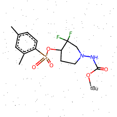 Cc1ccc(S(=O)(=O)OC2CCN(NC(=O)OC(C)(C)C)CC2(F)F)c(C)c1